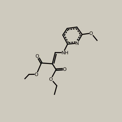 CCOC(=O)C(=CNc1cccc(OC)n1)C(=O)OCC